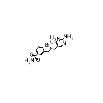 Cc1nc(N)ncc1CC(Br)Cc1cccc(S(N)(=O)=O)c1